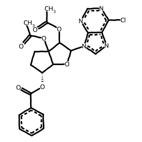 CC(=O)OC1C(n2cnc3c(Cl)ncnc32)OC2[C@H](OC(=O)c3ccccc3)CCC12OC(C)=O